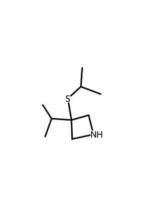 CC(C)SC1(C(C)C)CNC1